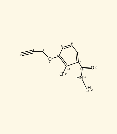 C#CCOc1cccc(C(=O)NN)c1Cl